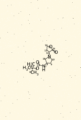 CC(C)(C)OC(=O)NC1CCN([C@H]2CCOC2=O)C1